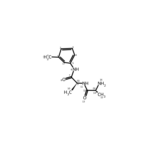 [CH2]c1cccc(NC(=O)[C@H](C)NC(=O)[C@H](C)N)c1